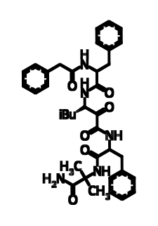 CC[C@H](C)C(NC(=O)C(Cc1ccccc1)NC(=O)Cc1ccccc1)C(=O)C(=O)NC(Cc1ccccc1)C(=O)NC(C)(C)C(N)=O